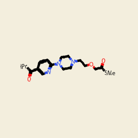 CSC(=O)COCCN1CCN(c2ccc(C(=O)C(C)C)cn2)CC1